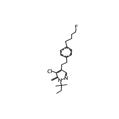 C=C1C(Cl)=C(CCc2ccc(CCCCF)cc2)C=NN1C(C)(C)CC